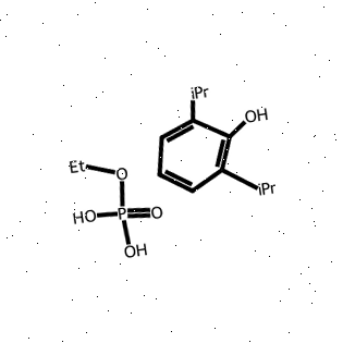 CC(C)c1cccc(C(C)C)c1O.CCOP(=O)(O)O